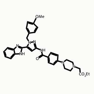 CCOC(=O)CN1CCN(c2ccc(C(=O)Nc3cc(-c4nc5ccccc5[nH]4)n(Cc4ccc(OC)cc4)n3)cc2)CC1